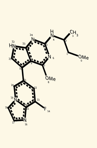 COCC(C)Nc1nc(OC)c2c(-c3cc(F)c4nccn4c3)c[nH]c2n1